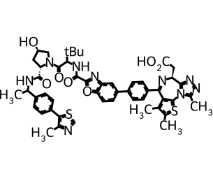 Cc1ncsc1-c1ccc(C(C)NC(=O)[C@@H]2C[C@@H](O)CN2C(=O)C(NC(=O)c2nc3cc(-c4ccc(C5=N[C@@H](CC(=O)O)c6nnc(C)n6-c6sc(C)c(C)c65)cc4)ccc3o2)C(C)(C)C)cc1